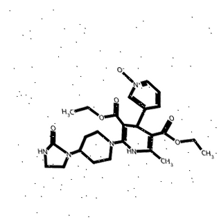 CCOC(=O)C1=C(C)NC(N2CCC(N3CCNC3=O)CC2)=C(C(=O)OCC)C1c1ccc[n+]([O-])c1